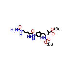 CC(C[C@H](Cc1ccc(NC(=O)[C@@H](N)CCCNC(N)=O)cc1)NC(=O)OC(C)(C)C)C(=O)OC(C)(C)C